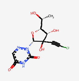 C[C@@H](O)[C@H]1O[C@@H](n2ncc(=O)[nH]c2=O)C(O)(C#CCl)[C@H]1O